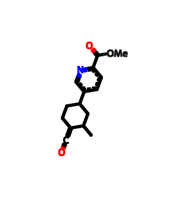 COC(=O)c1ccc(C2CCC(=C=O)C(C)C2)cn1